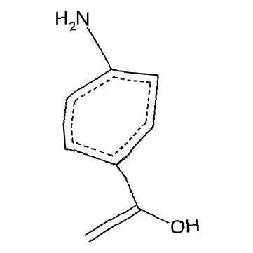 C=C(O)c1ccc(N)cc1